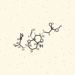 COC(=O)CC[C@H]1C[C@]2(CI)O[C@@H](C[C@@H](C)C#N)CC[C@@H]2O1